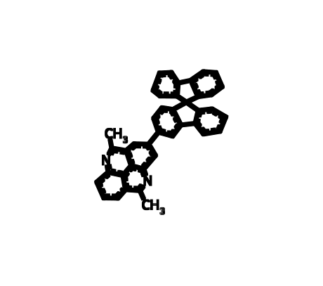 Cc1nc2cc(-c3ccc4c(c3)-c3ccccc3C43c4ccccc4-c4ccccc43)cc3c(C)nc4cccc1c4c23